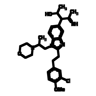 COc1ccc(CCc2nc3cc(C(C(C)=N)C(C)O)ccc3n2CC(C)N2CCOCC2)cc1Cl